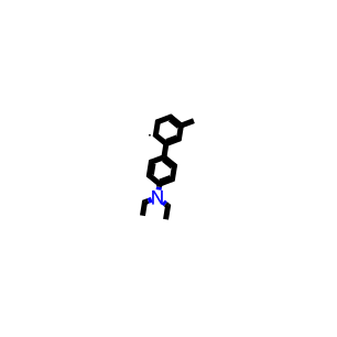 CCN(CC)c1ccc(C2=CC(C)=CC[CH]2)cc1